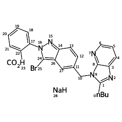 CCCCc1nc2cccnc2n1Cc1ccc2nn(-c3ccccc3C(=O)O)c(Br)c2c1.[NaH]